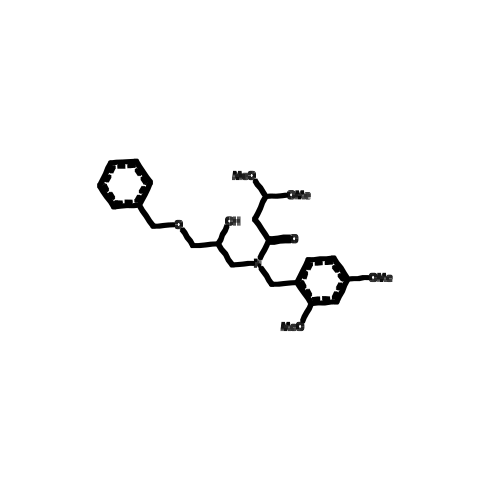 COc1ccc(CN(CC(O)COCc2ccccc2)C(=O)CC(OC)OC)c(OC)c1